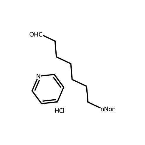 CCCCCCCCCCCCCCCC=O.Cl.c1ccncc1